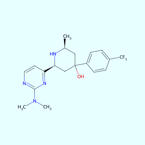 C[C@H]1CC(O)(c2ccc(C(F)(F)F)cc2)C[C@@H](c2ccnc(N(C)C)n2)N1